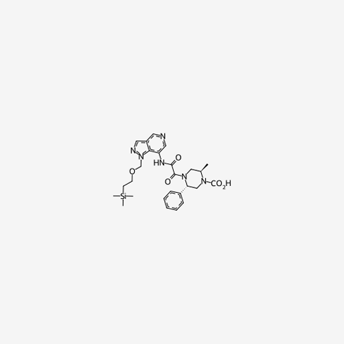 C[C@@H]1CN(C(=O)C(=O)Nc2cncc3cnn(COCC[Si](C)(C)C)c23)[C@@H](c2ccccc2)CN1C(=O)O